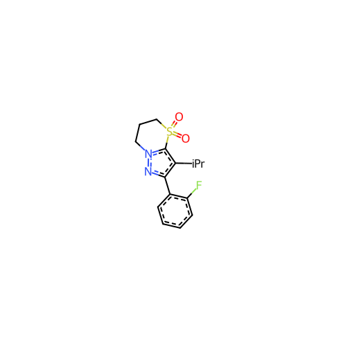 CC(C)c1c(-c2ccccc2F)nn2c1S(=O)(=O)CCC2